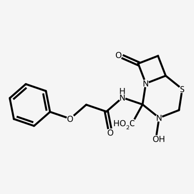 O=C(COc1ccccc1)NC1(C(=O)O)N(O)CSC2CC(=O)N21